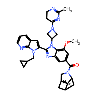 COc1cc(C(=O)N2CC3CC4CC2[C@H]43)cc2nc(-c3cc4cccnc4n3CC3CC3)n(C3CN(C4=NC(C)=NCC4)C3)c12